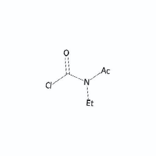 CCN(C(C)=O)C(=O)Cl